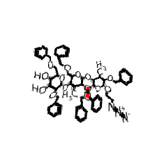 CC1C(OCc2ccccc2)[C@H](OCCN=[N+]=[N-])O[C@@H](COCc2ccccc2)[C@H]1O[C@@H]1OC(COCc2ccccc2)[C@H](O[C@H]2OC(COCc3ccccc3)[C@H](O)[C@H](O)C2OCc2ccccc2)[C@H](C)C1OCc1ccccc1